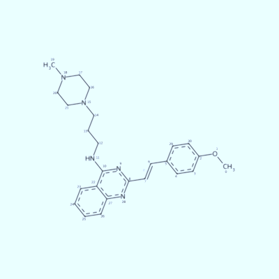 COc1ccc(/C=C/c2nc(NCCCN3CCN(C)CC3)c3ccccc3n2)cc1